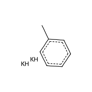 Cc1ccccc1.[KH].[KH]